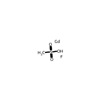 CS(=O)(=O)O.[F].[Gd]